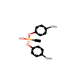 C#C[PH](O)(Oc1ccc(OC(C)=O)cc1)Oc1ccc(OC(C)=O)cc1